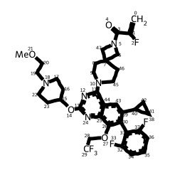 C=C(F)C(=O)N1CC2(CCN(c3nc(OC4CCN(CCOC)CC4)nc4c(OCC(F)(F)F)c(-c5c(F)cccc5F)c(C5CC5)cc34)CC2)C1